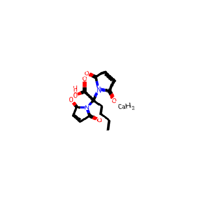 CCCCC(C(=O)O)(N1C(=O)C=CC1=O)N1C(=O)C=CC1=O.[CaH2]